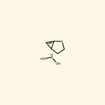 C1=C2SCCC12.OBO